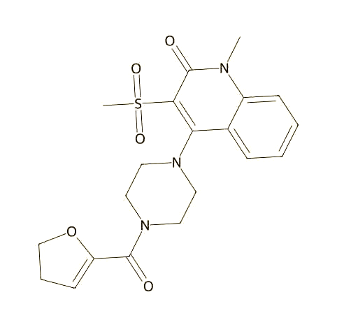 Cn1c(=O)c(S(C)(=O)=O)c(N2CCN(C(=O)C3=CCCO3)CC2)c2ccccc21